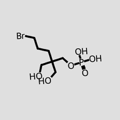 O=P(O)(O)OCC(CO)(CO)CCCBr